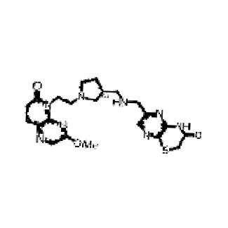 COc1cnc2ccc(=O)n(CCN3CC[C@@H](CNCc4cnc5c(n4)NC(=O)CS5)C3)c2n1